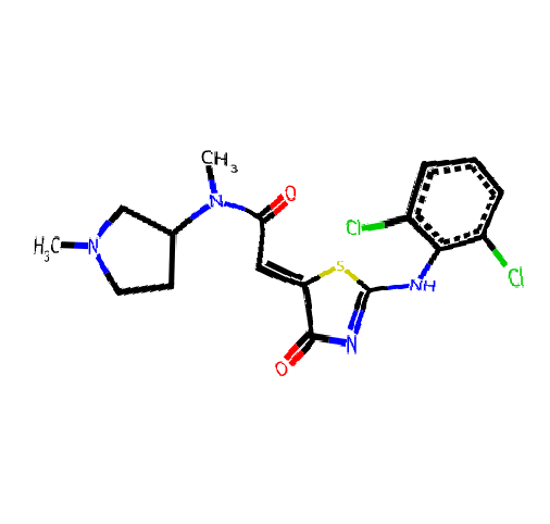 CN1CCC(N(C)C(=O)C=C2SC(Nc3c(Cl)cccc3Cl)=NC2=O)C1